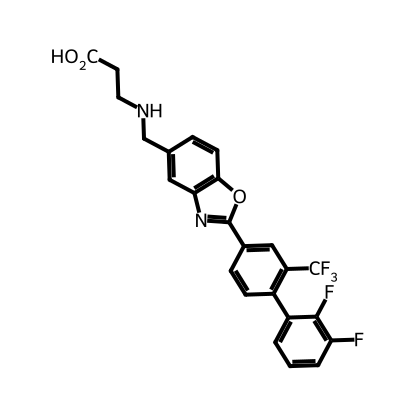 O=C(O)CCNCc1ccc2oc(-c3ccc(-c4cccc(F)c4F)c(C(F)(F)F)c3)nc2c1